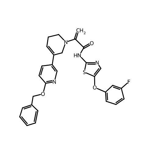 C=C(C(=O)Nc1ncc(Oc2cccc(F)c2)s1)N1CCC=C(c2ccc(OCc3ccccc3)nc2)C1